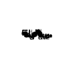 COc1cc2ncnc(N3CCN(C(=O)NCc4ccc(OC(F)(F)F)cc4)CC3)c2cc1OC